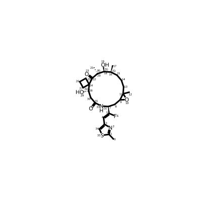 Cc1nc(C=C(F)[C@@H]2CC3OC3(C)CCC[C@H](C)[C@H](O)[C@@H](C)C(=O)C3(CCC3)[C@@H](O)CC(=O)N2)cs1